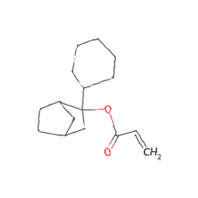 C=CC(=O)OC1(C2CCCCC2)CC2CCC1C2